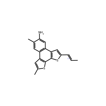 C/C=C/c1cc2c3cc(N)c(C)cc3c3cc(C)sc3c2s1